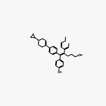 C/C=C(\C=C/CC)C(/CCCO)=C(/c1ccc(O)cc1)c1ccc(C2=CCN(C3CC3)CC2)cc1